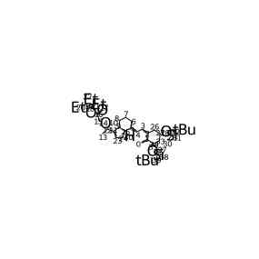 C=C1/C(=C\C=C2/CCC[C@]3(C)C(C(C)OCC(=O)OC(CC)(CC)CC)=CC[C@@H]23)C[C@@H](O[Si](C)(C)C(C)(C)C)C[C@@H]1O[Si](C)(C)C(C)(C)C